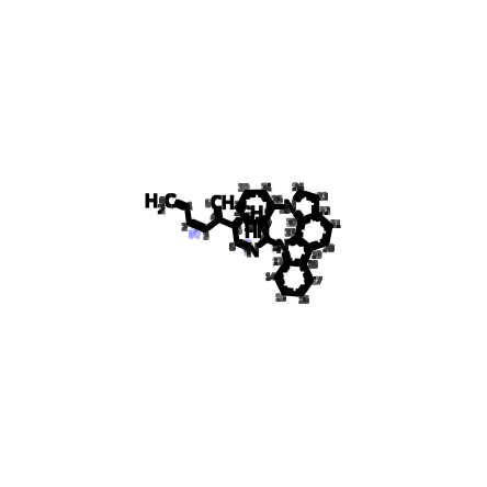 C=C/C=C\C(=C)C(=C)/C=N\C(=N)n1c2ccccc2c2ccc3ccn(-c4ccccc4)c3c21